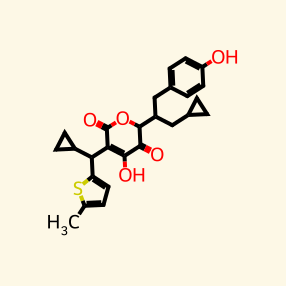 Cc1ccc(C(C2=C(O)C(=O)C(C(Cc3ccc(O)cc3)CC3CC3)OC2=O)C2CC2)s1